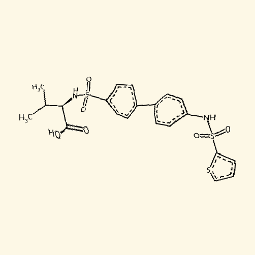 CC(C)[C@@H](NS(=O)(=O)c1ccc(-c2ccc(NS(=O)(=O)c3cccs3)cc2)cc1)C(=O)O